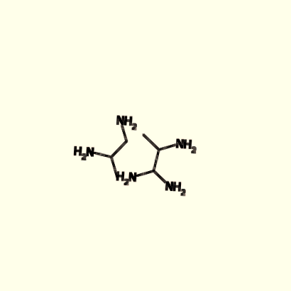 CC(N)C(N)N.CC(N)CN